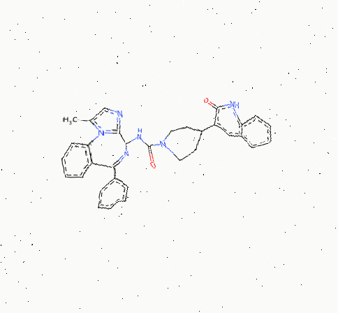 Cc1cnc2n1-c1ccccc1C(c1ccccc1)=NC2NC(=O)N1CCC(c2cc3ccccc3[nH]c2=O)CC1